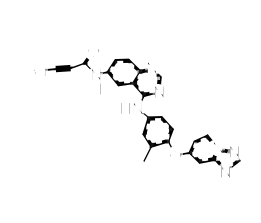 Cc1cc(Nc2ncnc3ccc(NC(=O)C#CC(C)(C)C)cc23)ccc1Oc1ccn2ncnc2c1